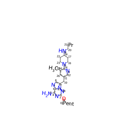 CCC[C@H](C)Oc1nc(N)c2ncc(Cc3cnc(N4CCC(NCC(C)C)CC4)c(C)c3)n2n1